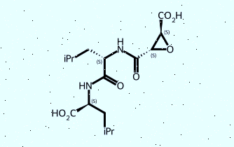 CC(C)C[C@H](NC(=O)[C@H](CC(C)C)NC(=O)[C@H]1O[C@@H]1C(=O)O)C(=O)O